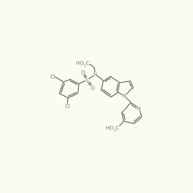 O=C(O)CN(c1ccc2c(ccn2-c2cc(C(=O)O)ccn2)c1)S(=O)(=O)c1cc(Cl)cc(Cl)c1